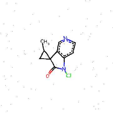 CC1CC12C(=O)N(Cl)c1ccncc12